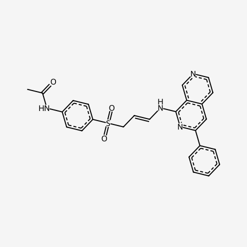 CC(=O)Nc1ccc(S(=O)(=O)CC=CNc2nc(-c3ccccc3)cc3ccncc23)cc1